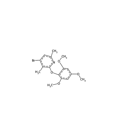 COc1cc(OC)c(Oc2nc(C)cc(Br)c2C)c(OC)c1